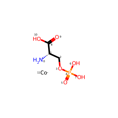 N[C@@H](COP(=O)(O)O)C(=O)O.[Co]